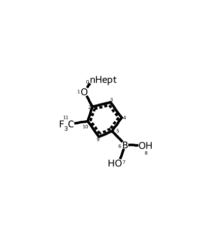 CCCCCCCOc1ccc(B(O)O)cc1C(F)(F)F